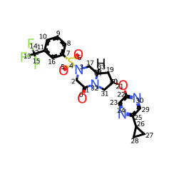 O=C1CN(S(=O)(=O)c2cccc(C(F)(F)F)c2)C[C@@H]2C[C@@H](Oc3cnc(C4CC4)cn3)CN12